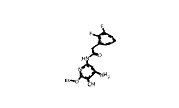 CCOc1nc(NC(=O)Cc2cccc(F)c2F)cc(N)c1C#N